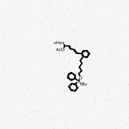 CCCCCCC(/C=C/C=C/c1ccccc1CCCCCO[Si](c1ccccc1)(c1ccccc1)C(C)(C)C)OC(C)=O